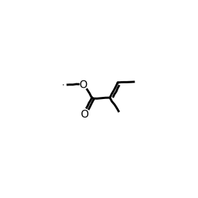 [CH2]OC(=O)C(C)=CC